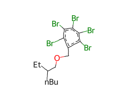 CCCCC(CC)COCc1c(Br)c(Br)c(Br)c(Br)c1Br